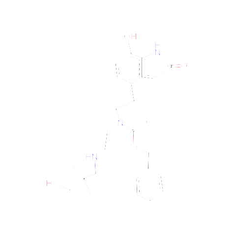 CC(C)(CO)CNCCN(CCc1ccc(O)c2[nH]c(=O)sc12)C(=O)OCc1ccccc1